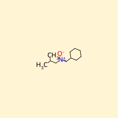 CC(C)C[N+]([O-])=CC1CCCCC1